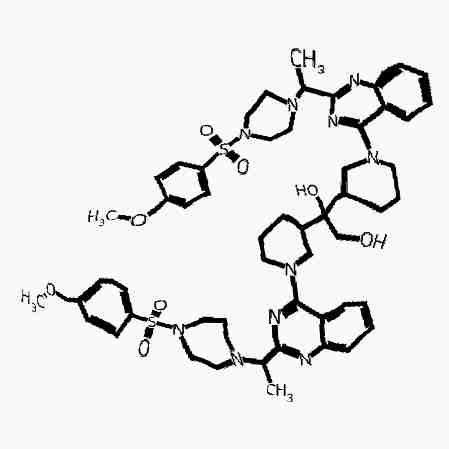 COc1ccc(S(=O)(=O)N2CCN(C(C)c3nc(N4CCCC(C(O)(CO)C5CCCN(c6nc(C(C)N7CCN(S(=O)(=O)c8ccc(OC)cc8)CC7)nc7ccccc67)C5)C4)c4ccccc4n3)CC2)cc1